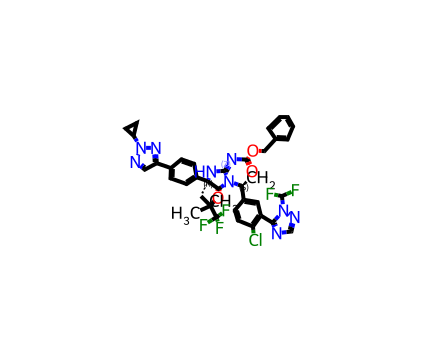 [CH2][C@@H](c1ccc(Cl)c(-c2ncnn2C(F)F)c1)N1C(=O)[C@@](CC(C)(C)C(F)(F)F)(c2ccc(-c3cnn(C4CC4)n3)cc2)N/C1=N/C(=O)OCc1ccccc1